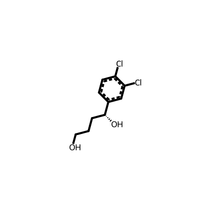 OCCC[C@@H](O)c1ccc(Cl)c(Cl)c1